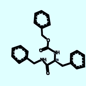 O=C(N[C@@H](Cc1ccccc1)C(=O)NCc1ccccc1)OCc1ccccc1